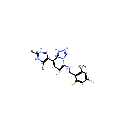 COc1cc(F)cc(F)c1CNc1c(F)cc(-c2cnc(C)nc2C)c2nncn12